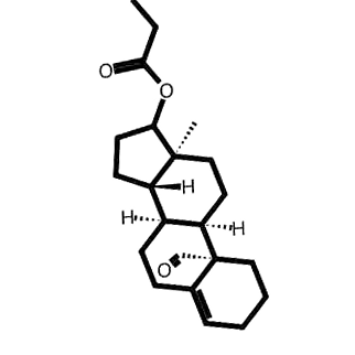 CCC(=O)OC1CC[C@H]2[C@@H]3CCC4=CCCC[C@]4(C=O)[C@@H]3CC[C@]12C